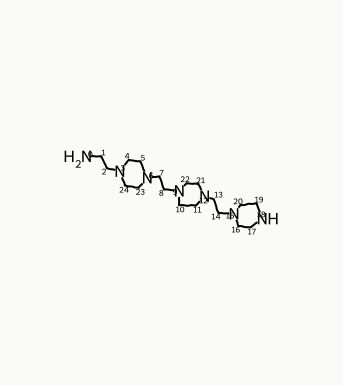 NCCN1CCN(CCN2CCN(CCN3CCNCC3)CC2)CC1